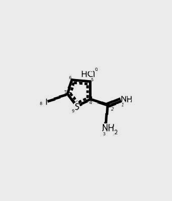 Cl.N=C(N)c1ccc(I)s1